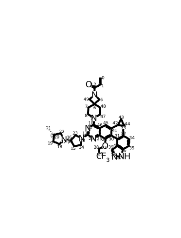 C=CC(=O)N1CC2(CCN(c3nc(N4CC[C@@H](N5CC[C@H](C)C5)C4)nc4c(OCC(F)(F)F)c(-c5c(C)ccc6[nH]ncc56)c(C5CC5)cc34)CC2)C1